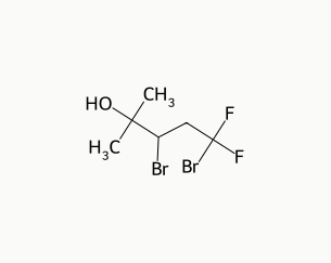 CC(C)(O)C(Br)CC(F)(F)Br